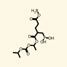 BOC(=O)CCC(CP(O)O)C(=O)OC(C)OC(=O)OC(C)C